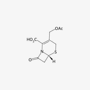 CC(=O)OCC1=C(C(=O)O)N2C(=O)C[C@H]2SC1